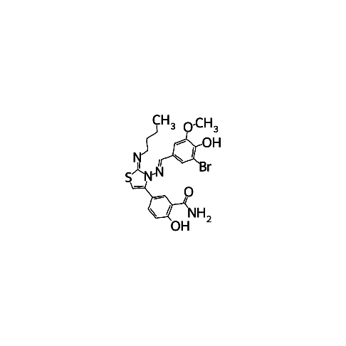 CCCCN=c1scc(-c2ccc(O)c(C(N)=O)c2)n1N=Cc1cc(Br)c(O)c(OC)c1